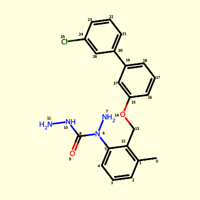 Cc1cccc(N(N)C(=O)NN)c1COc1cccc(-c2cccc(Cl)c2)c1